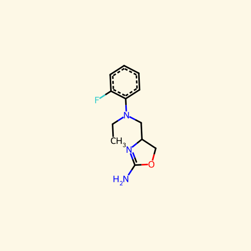 CCN(CC1COC(N)=N1)c1ccccc1F